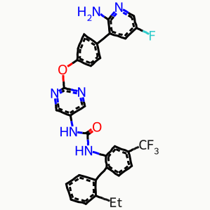 CCc1ccccc1-c1ccc(C(F)(F)F)cc1NC(=O)Nc1cnc(Oc2ccc(-c3cc(F)cnc3N)cc2)nc1